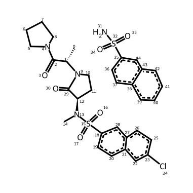 C[C@@H](C(=O)N1CCCC1)N1CC[C@@H](N(C)S(=O)(=O)c2ccc3cc(Cl)ccc3c2)C1=O.NS(=O)(=O)c1ccc2ccccc2c1